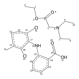 CCOC(=O)CN(CC)CC.Cc1ccc(Cl)c(Nc2ccccc2C(=O)O)c1Cl